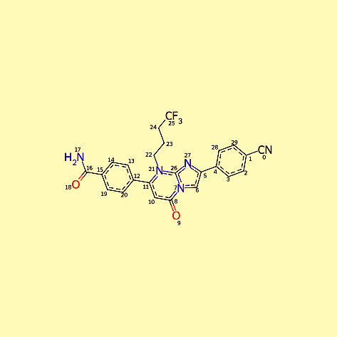 N#Cc1ccc(-c2cn3c(=O)cc(-c4ccc(C(N)=O)cc4)n(CCCC(F)(F)F)c3n2)cc1